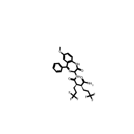 COc1ccc2c(c1)C(c1ccccc1)=NC(NC(=O)[C@H](CCC(F)(F)F)[C@H](CCC(F)(F)F)C(N)=O)C(=O)N2